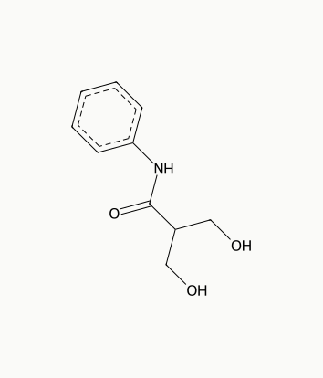 O=C(Nc1ccccc1)C(CO)CO